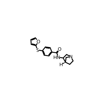 O=C(NC1CN2CC[C@H]1C2)c1ccc(Sc2ccco2)cc1